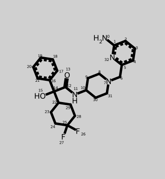 Nc1cccc(CN2CCC(NC(=O)C(O)(c3ccccc3)C3CCC(F)(F)CC3)CC2)n1